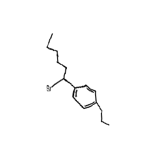 CCCCCC(Br)c1ccc(CCC)cc1